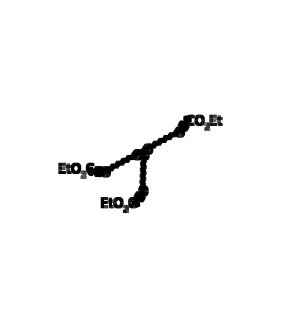 C=C(C(=O)OCC)c1ccc(OCCCCCCCCCCCOCC(COCCCCCCCCCCCOc2ccc(C(=C)C(=O)OCC)cc2)OCCCCCCCCCCCOc2ccc(C(=C)C(=O)OCC)cc2)cc1